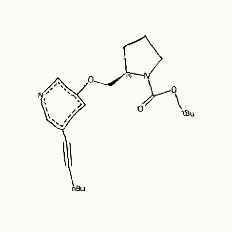 CCCCC#Cc1cncc(OC[C@H]2CCCN2C(=O)OC(C)(C)C)c1